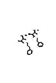 N#Cc1c(N)n(CCc2ccccc2)c2ncnc(N)c12.NC(=S)c1cn(CCCc2ccccc2)c2ncnc(N)c12